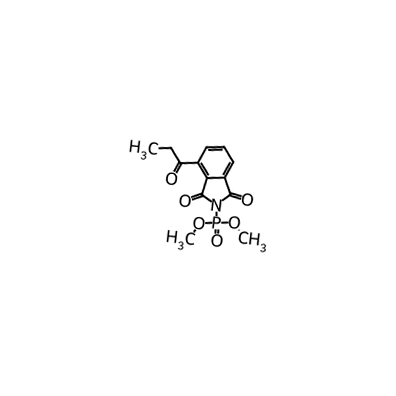 CCC(=O)c1cccc2c1C(=O)N(P(=O)(OC)OC)C2=O